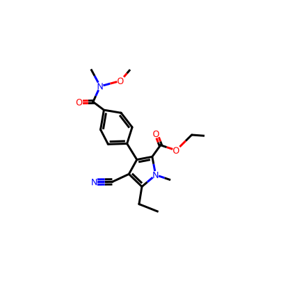 CCOC(=O)c1c(-c2ccc(C(=O)N(C)OC)cc2)c(C#N)c(CC)n1C